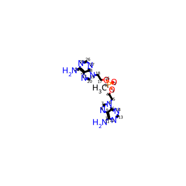 CP(=O)(OCCn1cnc2c(N)ncnc21)OCCn1cnc2c(N)ncnc21